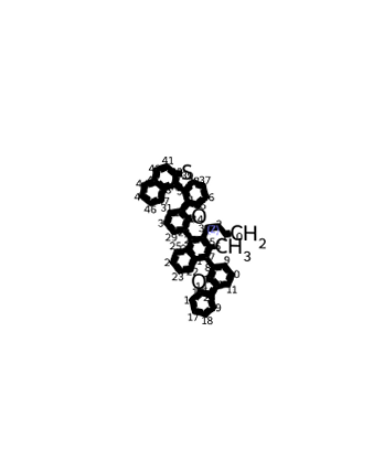 C=C/C=C\c1c(C)c(-c2cccc3c2oc2ccccc23)c2ccccc2c1-c1cccc2c1oc1ccc3sc4ccc5ccccc5c4c3c12